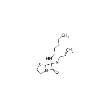 C=CCSC1(NCCCCC)C(=O)N2CCSC21